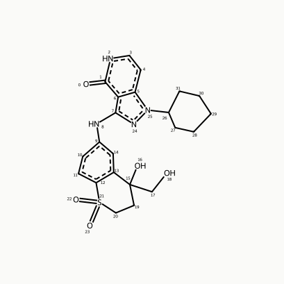 O=c1[nH]ccc2c1c(Nc1ccc3c(c1)C(O)(CO)CCS3(=O)=O)nn2C1CCCCC1